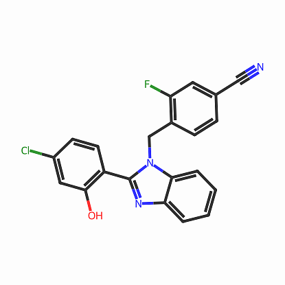 N#Cc1ccc(Cn2c(-c3ccc(Cl)cc3O)nc3ccccc32)c(F)c1